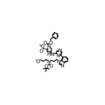 COCCCN(CCCn1cnc2cccc(-c3cncc(N[C@H]4C[C@@H](C(=O)OC)N(C(=O)OCc5ccccc5)C4)n3)c21)C(=O)OC(C)(C)C